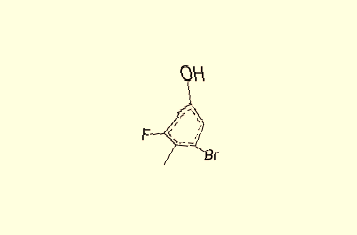 Cc1c(F)cc(O)cc1Br